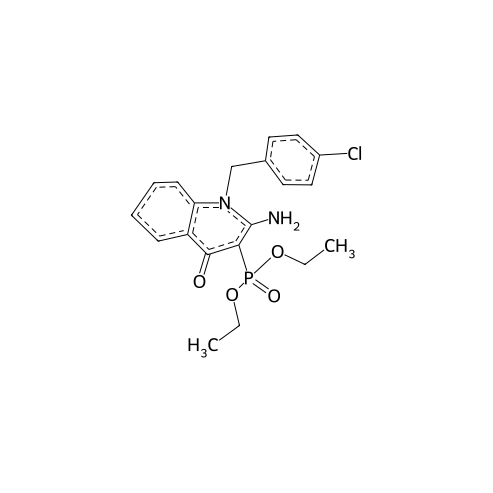 CCOP(=O)(OCC)c1c(N)n(Cc2ccc(Cl)cc2)c2ccccc2c1=O